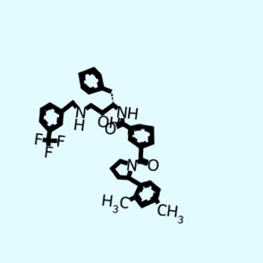 Cc1ccc(C2CCCN2C(=O)c2cccc(C(=O)N[C@@H](Cc3ccccc3)[C@@H](O)CNCc3cccc(C(F)(F)F)c3)c2)c(C)c1